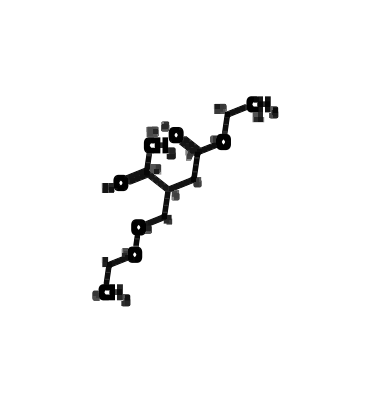 CCOOCC(CC(=O)OCC)C(C)=O